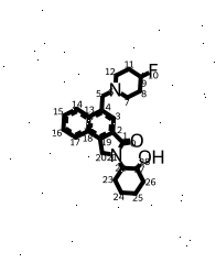 O=C1c2cc(CN3CCC(F)CC3)c3ccccc3c2CN1C1CCCCC1O